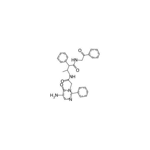 CC(NC(=O)Cn1c(-c2ccccc2)ncc(N)c1=O)C(C(=O)NCC(=O)c1ccccc1)c1ccccc1